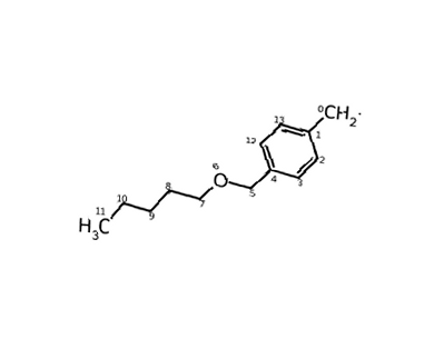 [CH2]c1ccc(COCCCCC)cc1